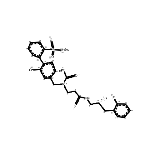 CCCC(=O)N(CCC(=O)NC[C@H](S)Cc1ccccc1F)Cc1ccc(-c2ccccc2S(=O)(=O)NC(C)=O)c(Cl)c1